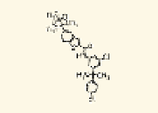 CC(C)(c1ccc(Cl)cc1)c1cc(Cl)cc(NC(=O)c2cc3cc(C(C)(C)S(C)(=O)=O)ccc3s2)c1